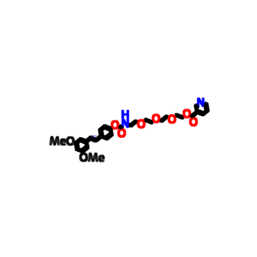 COc1cc(/C=C/c2ccc(OC(=O)NCCOCCOCCOCCOC(=O)c3cccnc3)cc2)cc(OC)c1